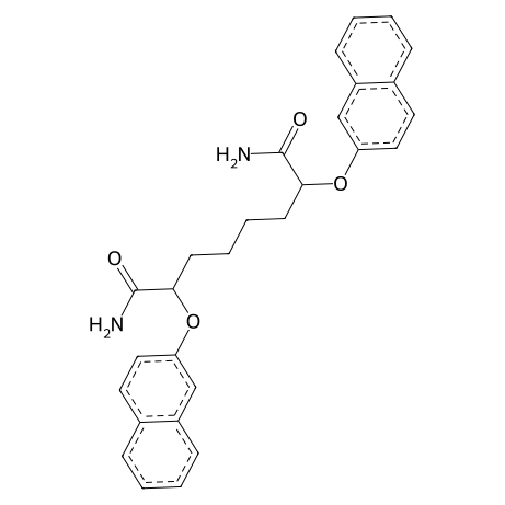 NC(=O)C(CCCCC(Oc1ccc2ccccc2c1)C(N)=O)Oc1ccc2ccccc2c1